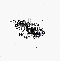 CC(=O)NNc1nc(Nc2cc(S(=O)(=O)O)cc3ccc(/N=N/c4ccccc4C(=O)O)c(O)c23)nc(NC(CSSCC(Nc2nc(NNC(C)=O)nc(Nc3cccc4cc(S(=O)(=O)O)c(/N=N/c5ccccc5C(=O)O)c(O)c34)n2)C(=O)O)C(=O)O)n1